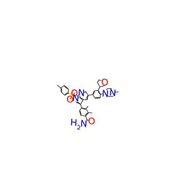 Cc1ccc(S(=O)(=O)n2cc(-c3ccc(C(N)=O)c(C)c3C)c3cc(-c4ccc(N5CCN(C)CC5)c(C5CCOC5)c4)cnc32)cc1